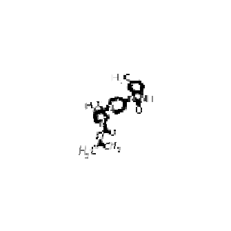 Cc1ccc2[nH]c(=O)n(C3CCN(C4(C)CCN(C(=O)OC(C)C)C4)CC3)c2c1